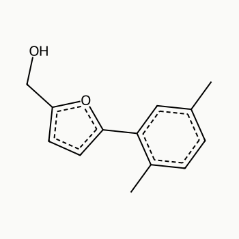 Cc1ccc(C)c(-c2ccc(CO)o2)c1